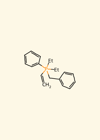 C=CP(CC)(CC)(Cc1ccccc1)c1ccccc1